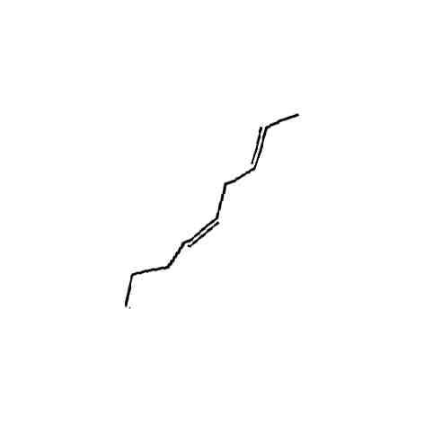 [CH2]CCC=CCC=CC